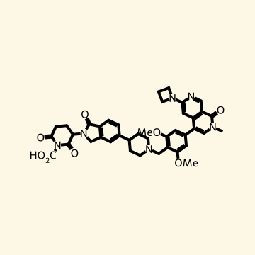 COc1cc(-c2cn(C)c(=O)c3cnc(N4CCC4)cc23)cc(OC)c1CN1CCC(c2ccc3c(c2)CN(C2CCC(=O)N(C(=O)O)C2=O)C3=O)CC1